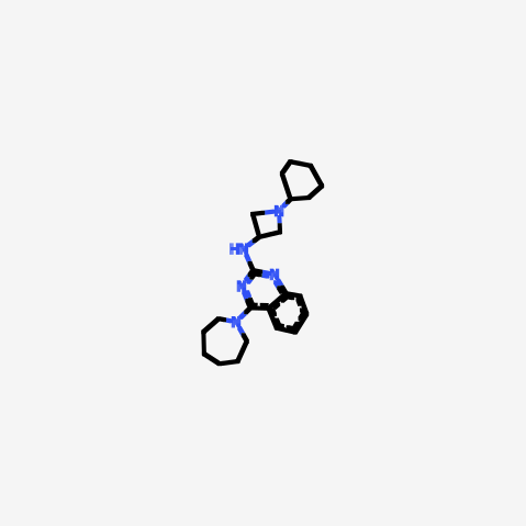 c1ccc2c(N3CCCCCC3)nc(NC3CN(C4CCCCC4)C3)nc2c1